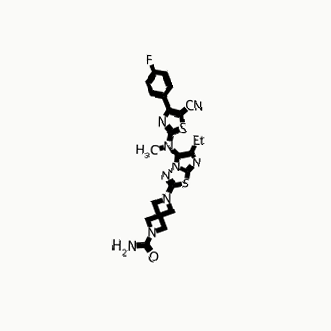 CCc1nc2sc(N3CC4(CN(C(N)=O)C4)C3)nn2c1N(C)c1nc(-c2ccc(F)cc2)c(C#N)s1